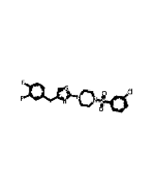 O=S(=O)(c1cccc(Cl)c1)N1CCN(c2nc(Cc3ccc(F)c(F)c3)cs2)CC1